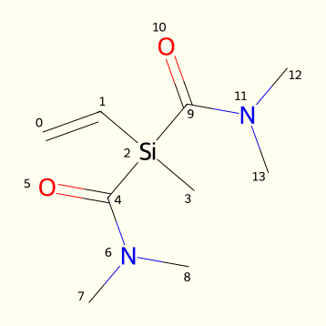 C=C[Si](C)(C(=O)N(C)C)C(=O)N(C)C